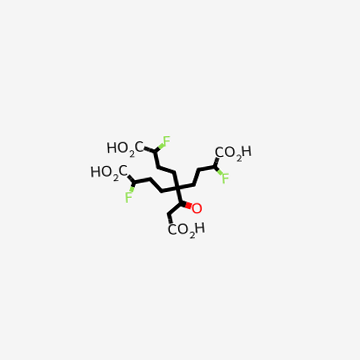 O=C(O)CC(=O)C(CCC(F)C(=O)O)(CCC(F)C(=O)O)CCC(F)C(=O)O